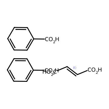 O=C(O)/C=C/C(=O)O.O=C(O)c1ccccc1.O=C(O)c1ccccc1